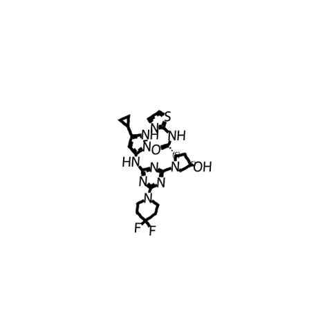 O=C(Nc1nccs1)[C@@H]1C[C@H](O)CN1c1nc(Nc2cc(C3CC3)[nH]n2)nc(N2CCC(F)(F)CC2)n1